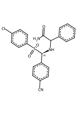 N#Cc1ccc([C@H](NC(C(N)=O)c2ccccc2)S(=O)(=O)c2ccc(Cl)cc2)cc1